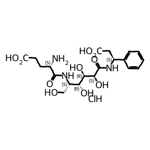 Cl.N[C@@H](CCC(=O)O)C(=O)N[C@@H](CO)[C@@H](O)[C@@H](O)[C@H](O)C(=O)N[C@@H](CC(=O)O)c1ccccc1